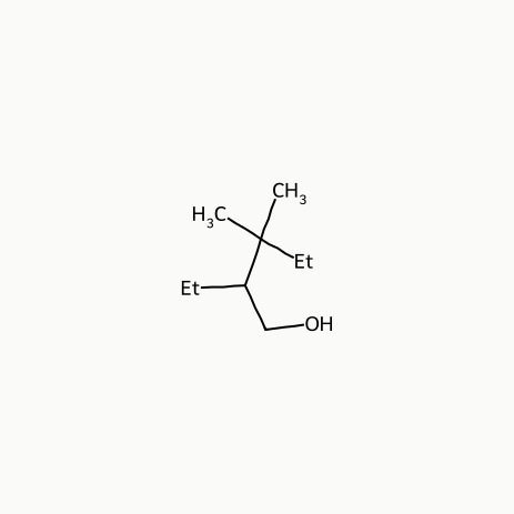 CCC(CO)C(C)(C)CC